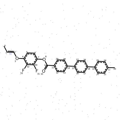 C/C=C/Oc1ccc(OC(=O)c2ccc(-c3ccc(-c4ccc(C)cc4)cc3)cc2)c(F)c1F